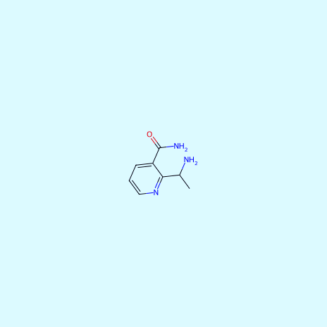 CC(N)c1ncccc1C(N)=O